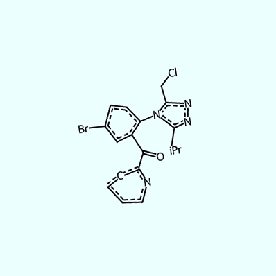 CC(C)c1nnc(CCl)n1-c1ccc(Br)cc1C(=O)c1ccccn1